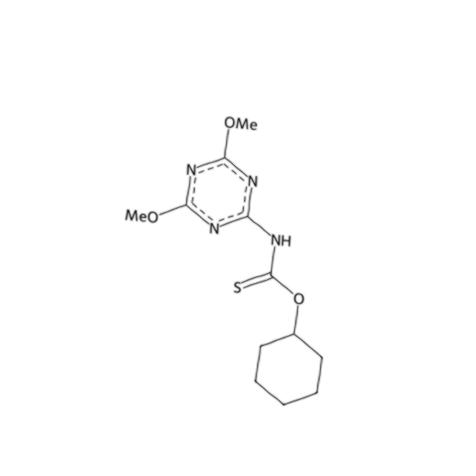 COc1nc(NC(=S)OC2CCCCC2)nc(OC)n1